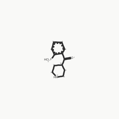 Cl.O=C(c1ccccc1F)C1CCNCC1